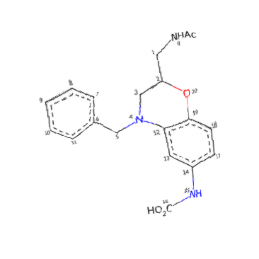 CC(=O)NCC1CN(Cc2ccccc2)c2cc(NC(=O)O)ccc2O1